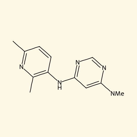 CNc1cc(Nc2ccc(C)nc2C)ncn1